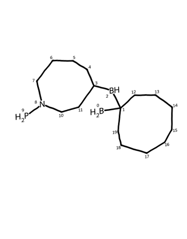 BC1(BC2CCCCN(P)CC2)CCCCCCCC1